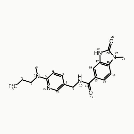 CN(CCC(F)(F)F)c1ccc(CNC(=O)c2ccc3c(c2)[nH]c(=O)n3C)cn1